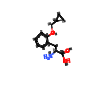 NC(Cc1ccccc1OCC1CC1)C(=O)O